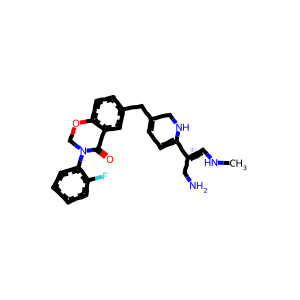 CN/C=C(\CN)C1=CC=C(Cc2ccc3c(c2)C(=O)N(c2ccccc2F)CO3)CN1